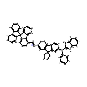 CCC1(CC)C2=C(CCC(/C=C/c3cccc4c3-c3ccccc3C4(c3ccccc3)c3ccccc3)=C2)c2ccc(N(c3ccccc3)c3nc4ccccc4s3)cc21